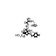 CC(C)C(N)C(=O)OCOC(=O)[C@@]1(N)[C@H]2[C@@H](C[C@H]1OCc1ccc(F)cc1)[C@]2(F)C(=O)O.Cl.Cl